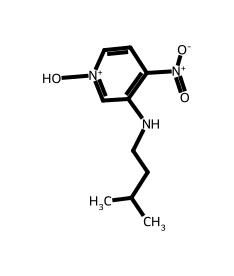 CC(C)CCNc1c[n+](O)ccc1[N+](=O)[O-]